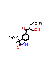 CCOC(=O)CC(CO)C(=O)c1ccc2c(c1)C(C)(C(=O)OCC)C(=O)N2